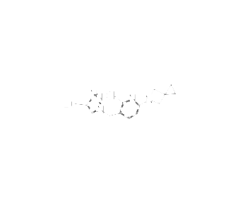 CCc1cn(Cc2ccc(N3CC4(CC4)C3)nc2Cl)nn1